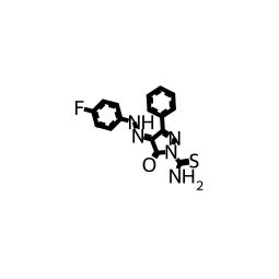 NC(=S)N1N=C(c2ccccc2)/C(=N\Nc2ccc(F)cc2)C1=O